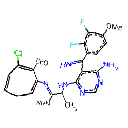 CN/C(=N\C1=CCC=CC(Cl)=C1C=O)C(C)Nc1ncnc(N)c1C(=N)c1ccc(OC)c(F)c1F